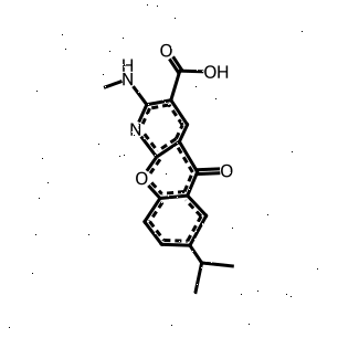 CNc1nc2oc3ccc(C(C)C)cc3c(=O)c2cc1C(=O)O